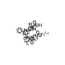 CCCCOC(=O)N1CCN(C(=O)[C@@H](NC(=O)c2cc(N3C[C@@H]4[C@H](C3)[C@@H]4C(=O)O)nc(-c3ccccc3)n2)C2CC2)CC1